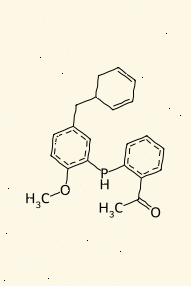 COc1ccc(CC2C=CC=CC2)cc1Pc1ccccc1C(C)=O